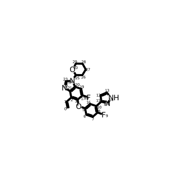 C=Cc1c(Oc2ccc(F)c(-c3cc[nH]n3)c2)c(F)cc2c1ncn2C1CCCCO1